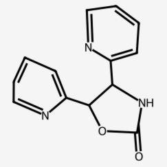 O=C1NC(c2ccccn2)C(c2ccccn2)O1